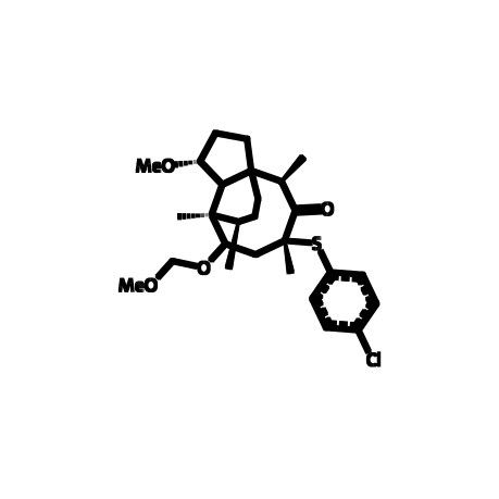 COCOC1C[C@@](C)(Sc2ccc(Cl)cc2)C(=O)[C@H](C)C23CC[C@@H](C)[C@]1(C)C2[C@H](OC)CC3